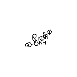 c1cc(C2CCOCC2)c(CN2CCCC2)nc1Nc1cc2nc(N3CCCC3)sc2cn1